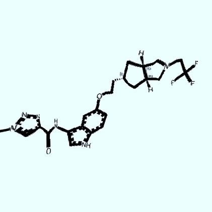 Cn1cc(C(=O)Nc2c[nH]c3ccc(OCC[C@@H]4C[C@@H]5CN(CC(F)(F)F)C[C@@H]5C4)cc23)nn1